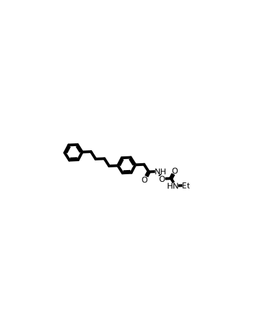 CCNC(=O)ONC(=O)Cc1ccc(CCCCc2ccccc2)cc1